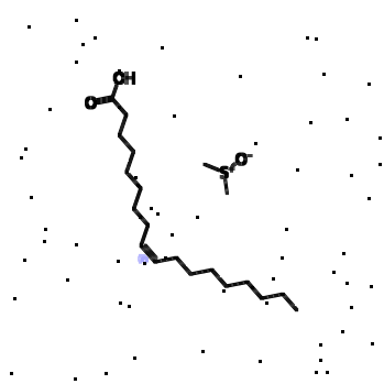 CCCCCCCC/C=C\CCCCCCCC(=O)O.C[S+](C)[O-]